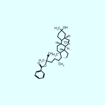 C#C[C@@](C)(CC[C@@H](C)[C@H]1CC[C@H]2[C@@H]3CC[C@H]4C[C@@](C)(O)CC[C@]4(C)[C@H]3CC[C@]12C)OC(=O)c1ccccc1